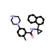 Cc1ccc(N2CCNCC2)cc1C(=O)NC1(c2cccc3ccccc23)CC1